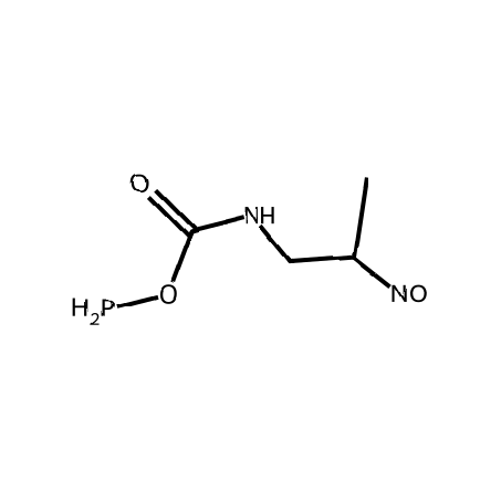 CC(CNC(=O)OP)N=O